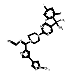 Cn1cc(-c2c[nH]c(/C(=N\C=N)N3CCN(c4ncc([C@@](C)(N)c5c(F)cc(F)cc5F)cn4)CC3)c2)cn1